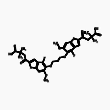 COc1cc2sc(C(=O)CC(C)(C)C(=O)O)cc2c(F)c1OCCCOc1c(OC)cc2sc(C(=O)CC(C)(C)C(=O)O)cc2c1F